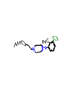 COCCN1CCN(c2cccc(Cl)c2C#N)CC1